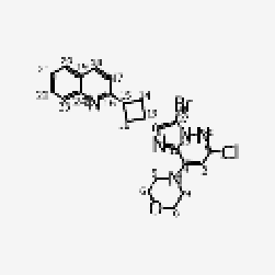 Clc1cc(N2CCOCC2)c2nc([C@H]3C[C@H](c4ccc5ccccc5n4)C3)c(Br)n2n1